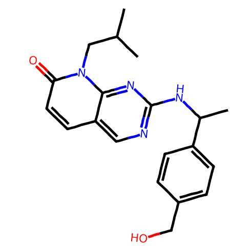 CC(C)Cn1c(=O)ccc2cnc(NC(C)c3ccc(CO)cc3)nc21